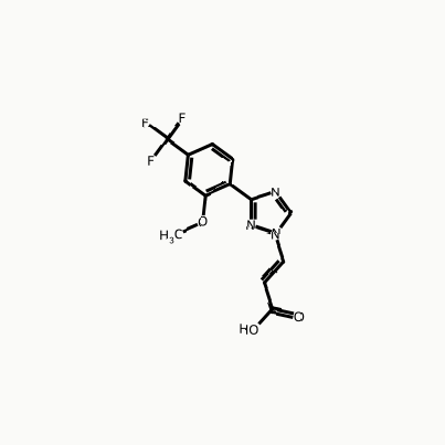 COc1cc(C(F)(F)F)ccc1-c1ncn(C=CC(=O)O)n1